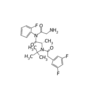 C[C@@H](C(=O)N(C(=O)CN)c1ccccc1F)N(C(=O)Cc1cc(F)cc(F)c1)C(C)(C)C